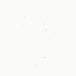 CCn1c(=O)n(CC2CC2)c(=O)c2cc(NC(=O)[C@H]3CNC[C@H]3COc3ccc(C#N)c(Cl)c3)ccc21.Cl